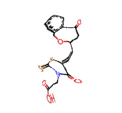 O=C(O)CN1C(=O)C(=CC2CC(=O)c3ccccc3O2)SC1=S